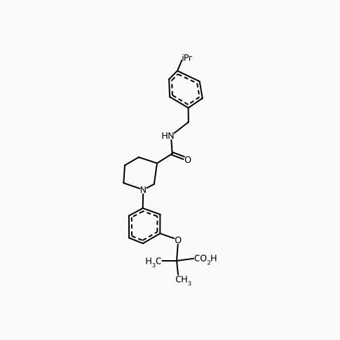 CC(C)c1ccc(CNC(=O)C2CCCN(c3cccc(OC(C)(C)C(=O)O)c3)C2)cc1